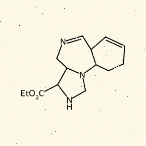 CCOC(=O)C1NCN2C3CCC=CC3C=NCC12